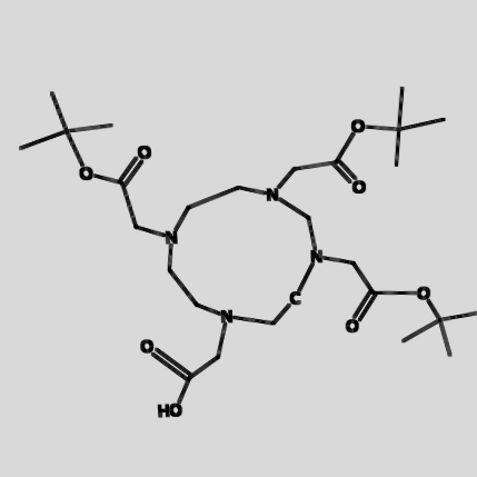 CC(C)(C)OC(=O)CN1CCN(CC(=O)O)CCN(CC(=O)OC(C)(C)C)CN(CC(=O)OC(C)(C)C)CC1